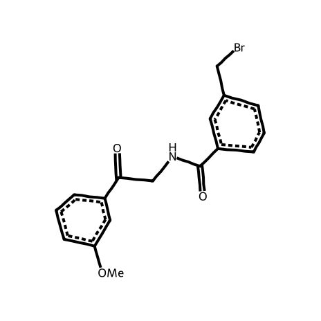 COc1cccc(C(=O)CNC(=O)c2cccc(CBr)c2)c1